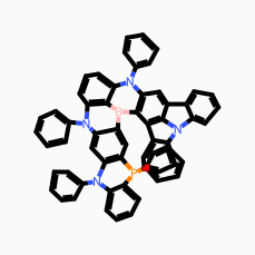 c1ccc(N2c3ccccc3P(c3ccccc3)c3cc4c(cc32)N(c2ccccc2)c2cccc3c2B4c2c(cc4c5ccccc5n5c6ccccc6c2c45)N3c2ccccc2)cc1